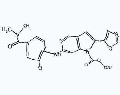 CN(C)C(=O)c1ccc(Nc2cc3c(cn2)cc(-c2cnco2)n3C(=O)OC(C)(C)C)c(Cl)c1